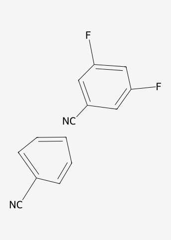 N#Cc1cc(F)cc(F)c1.N#Cc1ccccc1